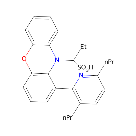 CCCc1ccc(CCC)c(-c2cccc3c2N(C(CC)S(=O)(=O)O)c2ccccc2O3)n1